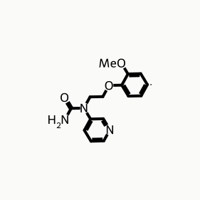 COc1c[c]ccc1OCCN(C(N)=O)c1cccnc1